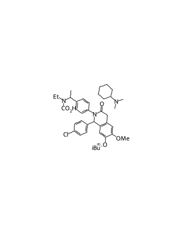 CC[C@@H](C)Oc1cc2c(cc1OC)CC(=O)N(c1ccc(C(C)N(CC)C(=O)O)cc1)C2c1ccc(Cl)cc1.CN(C)C1CCCCC1